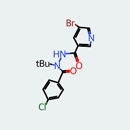 CC(C)(C)N(NC(=O)c1cncc(Br)c1)C(=O)c1ccc(Cl)cc1